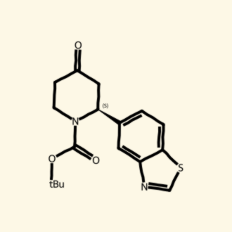 CC(C)(C)OC(=O)N1CCC(=O)C[C@H]1c1ccc2scnc2c1